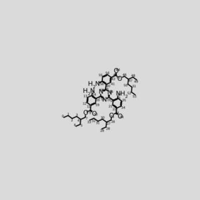 CCCCC(CC)COC(=O)c1ccc(N)c(-c2nc(-c3cc(C(=O)OCC(CC)CCCC)ccc3N)nc(-c3cc(C(=O)OCC(CC)CCCC)ccc3N)n2)c1